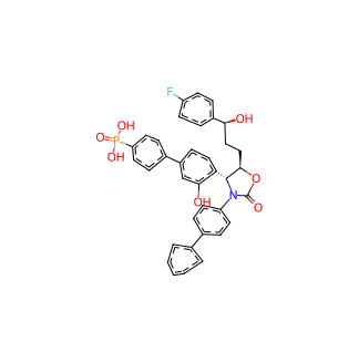 O=C1O[C@H](CC[C@H](O)c2ccc(F)cc2)[C@@H](c2ccc(-c3ccc(P(=O)(O)O)cc3)cc2O)N1c1ccc(-c2ccccc2)cc1